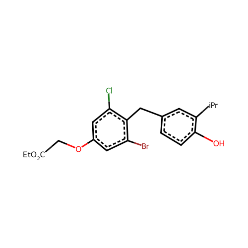 CCOC(=O)COc1cc(Cl)c(Cc2ccc(O)c(C(C)C)c2)c(Br)c1